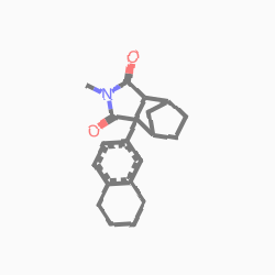 CN1C(=O)C2C3CCC(C3)C2(c2ccc3c(c2)CCCC3)C1=O